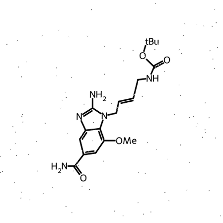 COc1cc(C(N)=O)cc2nc(N)n(CC=CCNC(=O)OC(C)(C)C)c12